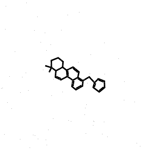 CC1(C)CCCC2c3ccc4c(Cc5ccccc5)cccc4c3C=CC21